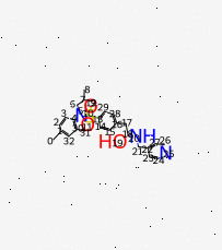 Cc1ccc(N(CC(C)C)S(=O)(=O)c2ccc(CC(O)NCc3ccncc3)cc2)c(C)c1